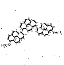 COc1ccc2ccc3c(-c4ccc5ccc6ccc(-c7ccc8ccc9c(OC)ccc%10ccc7c8c%109)c7ccc4c5c67)ccc4ccc1c2c43